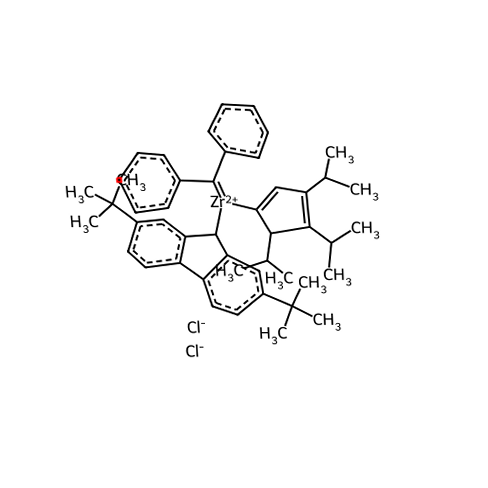 CC(C)C1=C(C(C)C)C(C(C)C)[C]([Zr+2](=[C](c2ccccc2)c2ccccc2)[CH]2c3cc(C(C)(C)C)ccc3-c3ccc(C(C)(C)C)cc32)=C1.[Cl-].[Cl-]